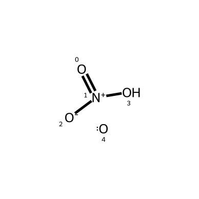 O=[N+]([O-])O.[O]